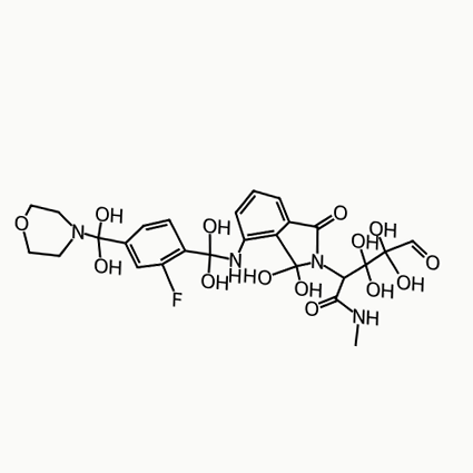 CNC(=O)C(N1C(=O)c2cccc(NC(O)(O)c3ccc(C(O)(O)N4CCOCC4)cc3F)c2C1(O)O)C(O)(O)C(O)(O)C=O